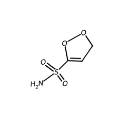 NS(=O)(=O)C1=CCOO1